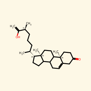 C=C(O)[C@@H](C)CCCC(C)[C@H]1CCC2C3CC=C4CC(=O)CC[C@]4(C)C3CC[C@@]21C